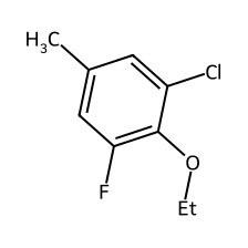 CCOc1c(F)cc(C)cc1Cl